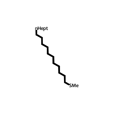 [CH2]SCCCCCCCCCCCCCCCCCC